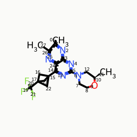 Cc1nc2nc(N3CCO[C@H](C)C3)nc(C34CC(C(F)(F)F)(C3)C4)c2nc1C